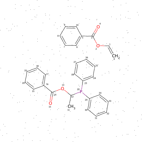 C=COC(=O)c1ccccc1.CC(OC(=O)c1ccccc1)P(c1ccccc1)c1ccccc1